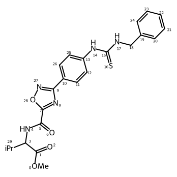 COC(=O)C(NC(=O)c1nc(-c2ccc(NC(=S)NCc3ccccc3)cc2)no1)C(C)C